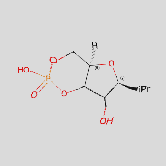 CC(C)[C@@H]1O[C@@H]2COP(=O)(O)OC2C1O